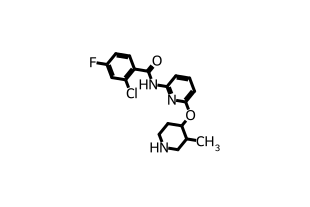 CC1CNCCC1Oc1cccc(NC(=O)c2ccc(F)cc2Cl)n1